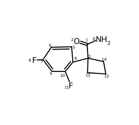 NC(=O)C1(c2ccc(F)cc2F)CCC1